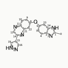 Cc1nc2ccc(Oc3ccc4ncc(-c5cn[nH]c5)nc4c3)cc2[nH]1